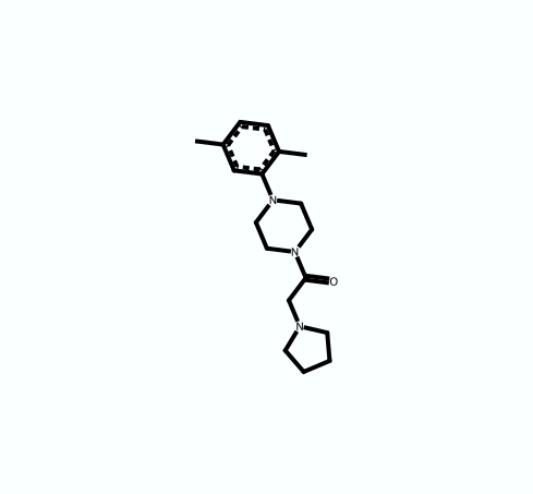 Cc1ccc(C)c(N2CCN(C(=O)CN3CCCC3)CC2)c1